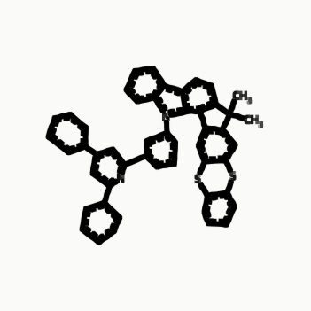 CC1(C)c2cc3c(cc2-c2c1ccc1c4ccccc4n(-c4cccc(-c5cc(-c6ccccc6)cc(-c6ccccc6)n5)c4)c21)Sc1ccccc1S3